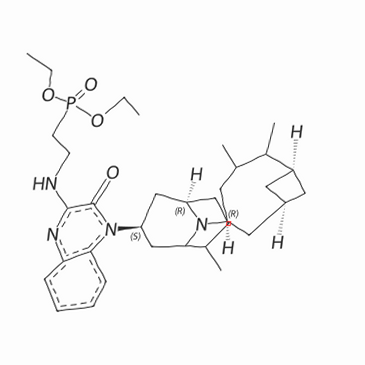 CCOP(=O)(CCNc1nc2ccccc2n([C@@H]2CC3C(C)CC[C@H](C2)N3[C@H]2CC(C)C(C)[C@H]3C[C@@H](C2)C3)c1=O)OCC